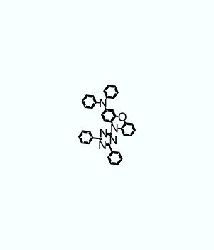 c1ccc(-c2nc(-c3ccccc3)nc(N3c4ccccc4Oc4cc(N(c5ccccc5)c5ccccc5)ccc43)n2)cc1